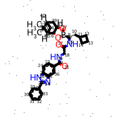 CC1(C)[C@H]2C[C@@H]1C1OB([C@H](CC3CCC3)NC(=O)CNC(=O)c3ccc4[nH]c(-c5ccccc5)nc4c3)O[C@@H]1C2